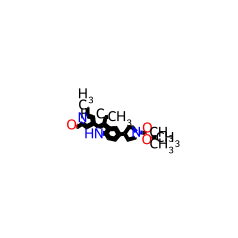 CCc1cc(-c2[nH]c3ccc(C4CCN(C(=O)OC(C)(C)C)CC4)cc3c2C(C)C)cc(C=O)n1